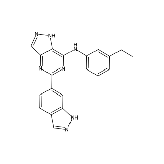 CCc1cccc(Nc2nc(-c3ccc4cn[nH]c4c3)nc3cn[nH]c23)c1